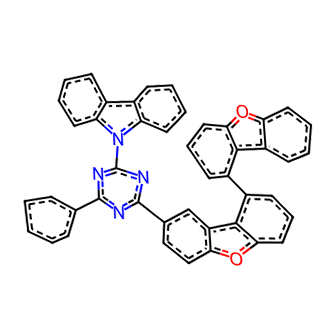 c1ccc(-c2nc(-c3ccc4oc5cccc(-c6cccc7oc8ccccc8c67)c5c4c3)nc(-n3c4ccccc4c4ccccc43)n2)cc1